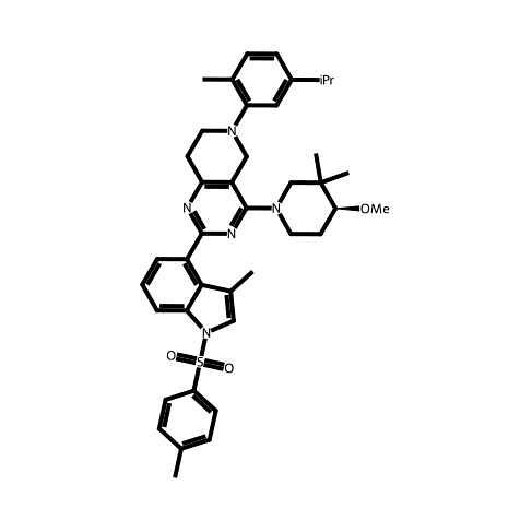 CO[C@H]1CCN(c2nc(-c3cccc4c3c(C)cn4S(=O)(=O)c3ccc(C)cc3)nc3c2CN(c2cc(C(C)C)ccc2C)CC3)CC1(C)C